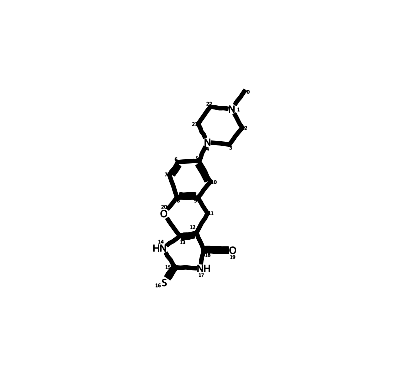 CN1CCN(c2ccc3c(c2)Cc2c([nH]c(=S)[nH]c2=O)O3)CC1